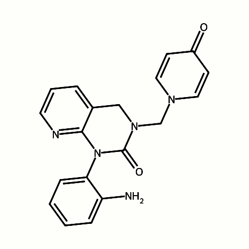 Nc1ccccc1N1C(=O)N(Cn2ccc(=O)cc2)Cc2cccnc21